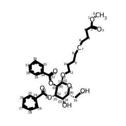 COC(=O)CCCCCCCCO[C@H]1O[C@H](CO)[C@H](O)[C@H](OC(=O)c2ccccc2)[C@H]1OC(=O)c1ccccc1